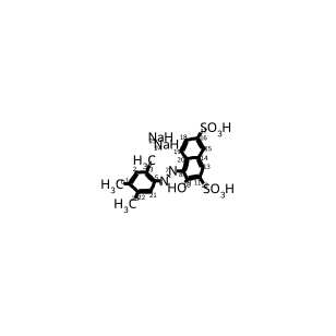 Cc1cc(C)c(N=Nc2c(O)c(S(=O)(=O)O)cc3cc(S(=O)(=O)O)ccc23)cc1C.[NaH].[NaH]